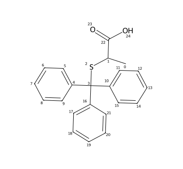 CC(SC(c1ccccc1)(c1ccccc1)c1ccccc1)C(=O)O